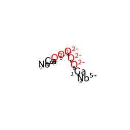 [Ga].[Ga].[Nb+5].[Nb+5].[O-2].[O-2].[O-2].[O-2].[O-2]